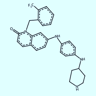 O=c1ccc2ccc(Nc3ccc(NC4CCNCC4)cc3)cc2n1Cc1ccccc1C(F)(F)F